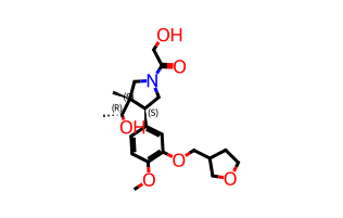 COc1ccc([C@@H]2CN(C(=O)CO)C[C@@]2(C)[C@@H](C)O)cc1OCC1CCOC1